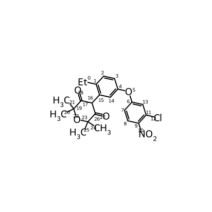 CCc1ccc(Oc2ccc([N+](=O)[O-])c(Cl)c2)cc1C1C(=O)C(C)(C)OC(C)(C)C1=O